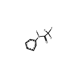 O=C(N(I)c1ccccc1)C(F)(F)F